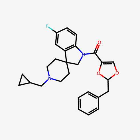 O=C(C1=COC(Cc2ccccc2)O1)N1CC2(CCN(CC3CC3)CC2)c2cc(F)ccc21